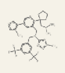 Cc1cscc1-c1cnc(C2(CC(C)N)CCCC2)c(CN(Cc2cc(C(F)(F)F)cc(C(F)(F)F)c2)c2nnn(C)n2)c1